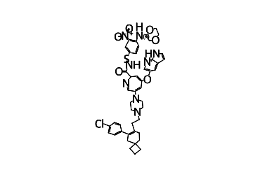 O=C(NSc1ccc(N[C@H]2COCCO2)c([N+](=O)[O-])c1)C1C=C(Oc2cnc3[nH]ccc3c2)C=C(N2CCN(CCC3=C(c4ccc(Cl)cc4)CC4(CCC4)CC3)CC2)C=N1